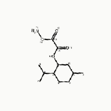 CC1CCC(C(C)C)C(OC(=O)C(=O)ON)C1